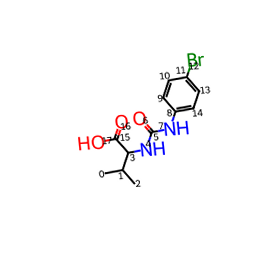 CC(C)C(NC(=O)Nc1ccc(Br)cc1)C(=O)O